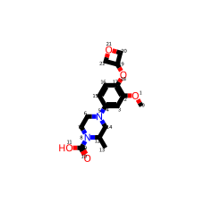 COc1cc(N2CCN(C(=O)O)C(C)C2)ccc1OC1COC1